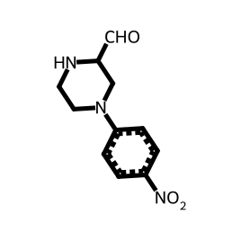 O=CC1CN(c2ccc([N+](=O)[O-])cc2)CCN1